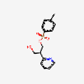 Cc1ccc(S(=O)(=O)OCC(CO)c2ccccn2)cc1